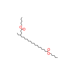 CCCCCOC(=O)CCCCCCCCCCCCCCCC(CC)CCC(=O)OCCCCC